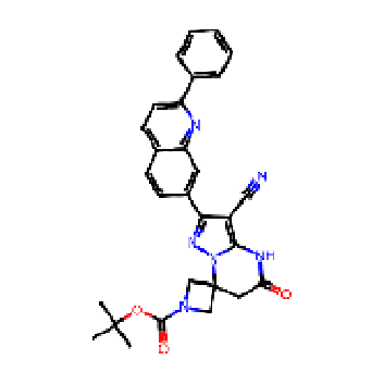 CC(C)(C)OC(=O)N1CC2(CC(=O)Nc3c(C#N)c(-c4ccc5ccc(-c6ccccc6)nc5c4)nn32)C1